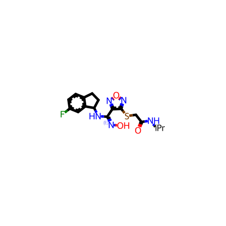 CC(C)NC(=O)CSc1nonc1/C(=N\O)NC1CCc2ccc(F)cc21